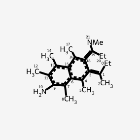 CC/C(C)=c1/c(C)c2c(C)c(N)c(C)c(C)c2c(C)/c1=C(/CC)NC